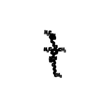 CCCCCOCc1nc(-c2cc(C)c(OCCCc3cc(C)no3)c(C)c2)no1